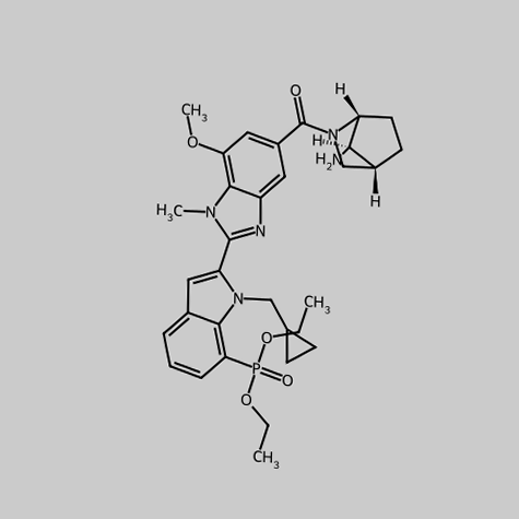 CCOP(=O)(OCC)c1cccc2cc(-c3nc4cc(C(=O)N5C[C@H]6CC[C@@H]5[C@@H]6N)cc(OC)c4n3C)n(CC3CC3)c12